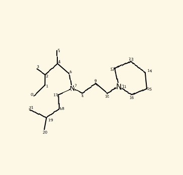 CCC(C)C(C)CN(CCCN1CCCCC1)CCC(C)C